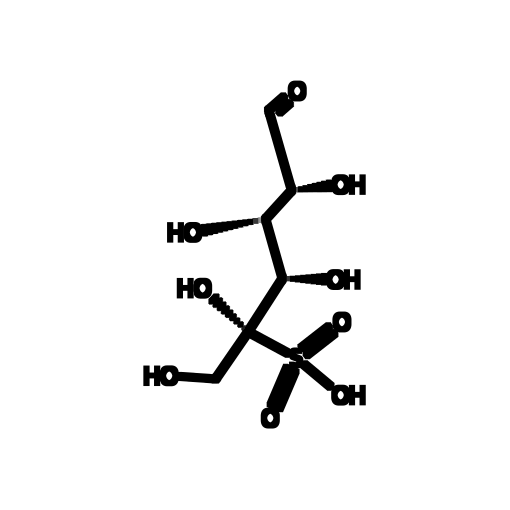 O=C[C@H](O)[C@@H](O)[C@H](O)[C@](O)(CO)S(=O)(=O)O